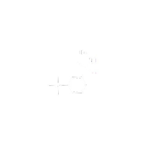 CC(C)(C)NS(=O)(=O)c1ccc[c]([Ge]([CH3])([CH3])[CH3])c1